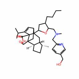 CCCCC1CC(C23C[C@@H]4[C@H](C)CC[C@H]4C4(C=O)CC2C=C(C(C)C)C34C(=O)O)OC1CN(C)Cc1ccc(CO)cn1